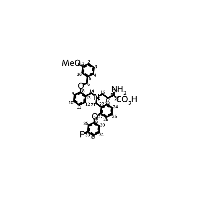 COc1cccc(COc2ccccc2CN(CC[C@H](N)C(=O)O)Cc2ccccc2Oc2cccc(F)c2)c1